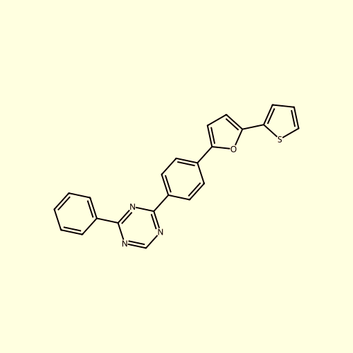 c1ccc(-c2ncnc(-c3ccc(-c4ccc(-c5cccs5)o4)cc3)n2)cc1